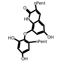 CCCCCc1cc(O)cc(O)c1Oc1cc(O)cc2cc(CCCCC)c(=O)[nH]c12